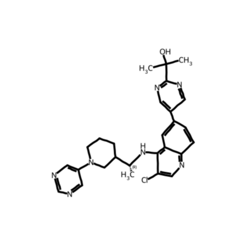 C[C@@H](Nc1c(Cl)cnc2ccc(-c3cnc(C(C)(C)O)nc3)cc12)C1CCCN(c2cncnc2)C1